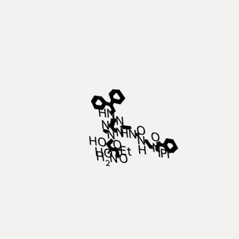 CC[C@]1(C(N)=O)O[C@@H](n2cnc3c(NCC(c4ccccc4)c4ccccc4)nc(CNC(=O)NCCN(C(=O)c4ccccc4)C(C)C)nc32)[C@H](O)[C@@H]1O